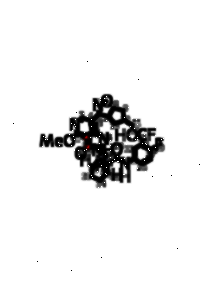 COc1ncc(C2=NOC3CC(CO)CC23)cc1C(=O)N[C@H]1[C@@H](C(=O)Nc2ccc(F)c(C(F)(F)F)c2)[C@H]2CC[C@@H]1/C2=C\c1csc(C)n1